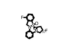 O=S1(=O)c2cccc(F)c2CN1c1ccccc1N1CC[C@H](F)C1